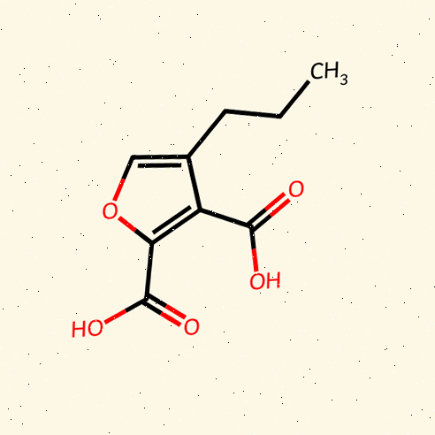 CCCc1coc(C(=O)O)c1C(=O)O